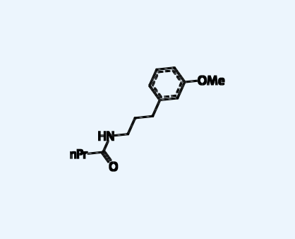 CCCC(=O)NCCCc1cccc(OC)c1